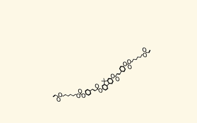 C=CC(=O)OCCCCCCOC(=O)Oc1ccc(C=CC(=O)Oc2ccc3c(c2)C(C)(C)c2cc(OC(=O)C=Cc4ccc(OC(=O)OCCCCCCOC(=O)C=C)cc4)ccc2-3)cc1